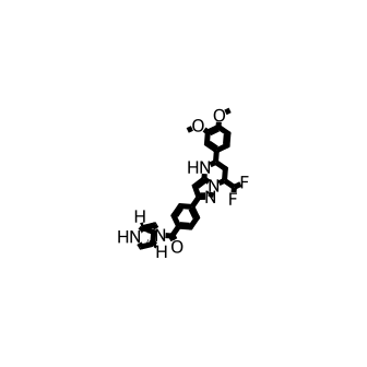 COc1ccc(C2CC(C(F)F)n3nc(-c4ccc(C(=O)N5C[C@@H]6C[C@H]5CN6)cc4)cc3N2)cc1OC